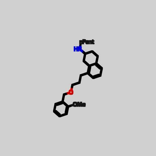 CCCCCNC1CCc2cccc(CCCOCc3ccccc3OC)c2C1